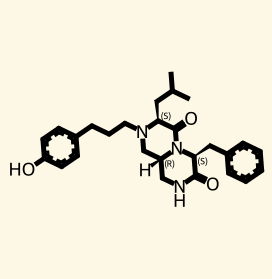 CC(C)C[C@H]1C(=O)N2[C@H](CNC(=O)[C@@H]2Cc2ccccc2)CN1CCCc1ccc(O)cc1